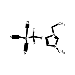 CC[n+]1ccn(C)c1.N#C[B-](C#N)(C#N)C(F)(F)F